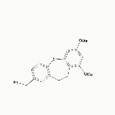 COc1cc(OC)c2c(c1)Sc1ccc(CS)cc1CC2